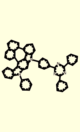 c1ccc(-c2nc(-c3ccccc3)nc(-c3ccc(-n4c5cccc6c5c5c(c7c8ccccc8n(-c8ccccc8)c7cc54)-c4cccc5cccc-6c45)cc3)n2)cc1